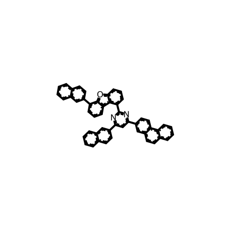 c1ccc2cc(-c3cc(-c4ccc5c(ccc6ccccc65)c4)nc(-c4cccc5oc6c(-c7ccc8ccccc8c7)cccc6c45)n3)ccc2c1